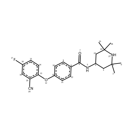 CC1(C)CC(NC(=O)c2ccc(Oc3ccc(F)cc3C#N)cc2)CC(C)(C)N1